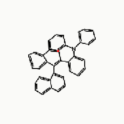 c1ccc(N(c2ccccc2)c2ccccc2-c2ccc3ccccc3c2-c2cccc3ccccc23)cc1